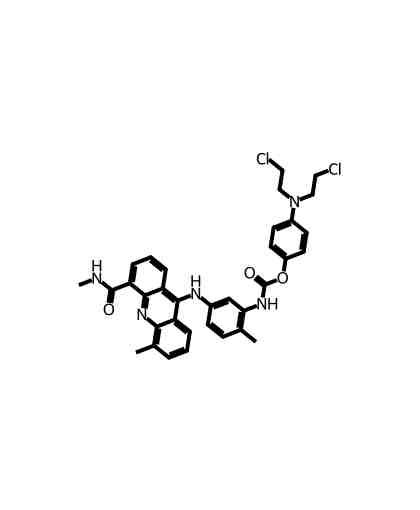 CNC(=O)c1cccc2c(Nc3ccc(C)c(NC(=O)Oc4ccc(N(CCCl)CCCl)cc4)c3)c3cccc(C)c3nc12